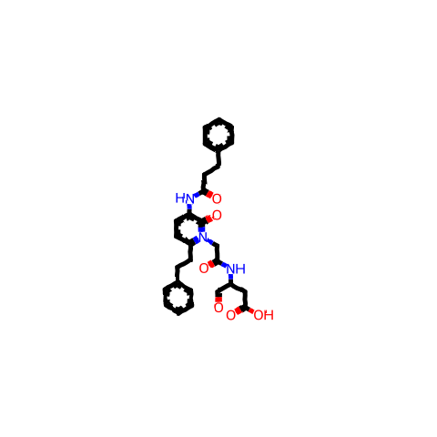 O=CC(CC(=O)O)NC(=O)Cn1c(CCc2ccccc2)ccc(NC(=O)CCc2ccccc2)c1=O